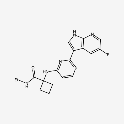 CCNC(=O)C1(Nc2ccnc(-c3c[nH]c4ncc(F)cc34)n2)CCC1